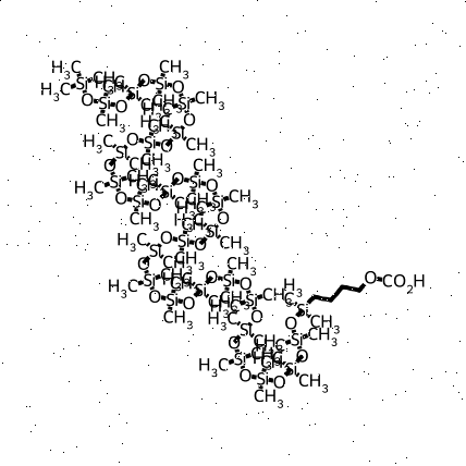 C[Si](C)(C)O[Si](C)(C)O[Si](C)(C)O[Si](C)(C)O[Si](C)(C)O[Si](C)(C)O[Si](C)(C)O[Si](C)(C)O[Si](C)(C)O[Si](C)(C)O[Si](C)(C)O[Si](C)(C)O[Si](C)(C)O[Si](C)(C)O[Si](C)(C)O[Si](C)(C)O[Si](C)(C)O[Si](C)(C)O[Si](C)(C)O[Si](C)(C)O[Si](C)(C)O[Si](C)(C)O[Si](C)(C)O[Si](C)(C)O[Si](C)(C)O[Si](C)(C)O[Si](C)(C)CCCCOC(=O)O